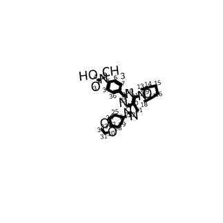 CN(C(=O)O)c1ccc(-c2nc(N3CC4CCC(C3)O4)c3cnn(C4CCC5(CC4)OCCO5)c3n2)cc1